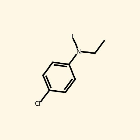 CCN(I)c1ccc(Cl)cc1